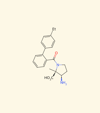 CCc1ccc(-c2ccccc2C(=O)N2CC[C@@H](N)[C@@]2(C)C(=O)O)cc1